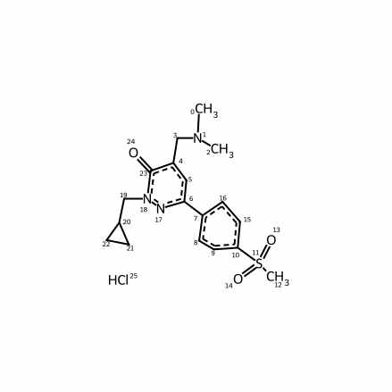 CN(C)Cc1cc(-c2ccc(S(C)(=O)=O)cc2)nn(CC2CC2)c1=O.Cl